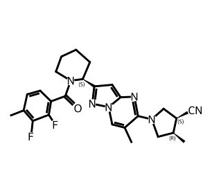 Cc1cn2nc([C@@H]3CCCCN3C(=O)c3ccc(C)c(F)c3F)cc2nc1N1C[C@@H](C#N)[C@@H](C)C1